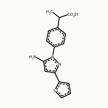 CCOC(=O)C(C)c1ccc(-n2nc(-c3cccs3)cc2N)cc1